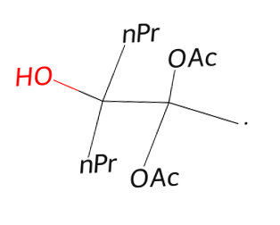 [CH2]C(OC(C)=O)(OC(C)=O)C(O)(CCC)CCC